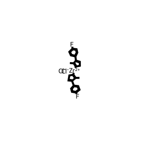 CC1=[C]([Zr+2][C]2=C(C)C(c3ccc(F)cc3)=CC2)CC=C1c1ccc(F)cc1.[Cl-].[Cl-]